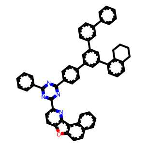 c1ccc(-c2cccc(-c3cc(-c4ccc(-c5nc(-c6ccccc6)nc(-c6ccc7oc8ccc9ccccc9c8c7n6)n5)cc4)cc(-c4cccc5c4CCCC5)c3)c2)cc1